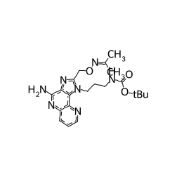 CC(C)=NOCc1nc2c(N)nc3cccnc3c2n1CCCNC(=O)OC(C)(C)C